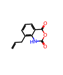 C=CCc1cccc2c(=O)oc(=O)[nH]c12